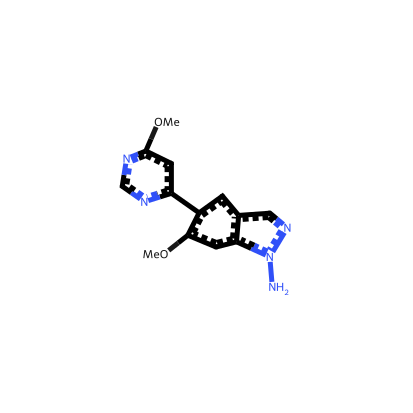 COc1cc(-c2cc3cnn(N)c3cc2OC)ncn1